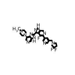 CN1CCN(c2cncc3[nH]c(-c4n[nH]c5cnc(-c6cncc(CN7CCC(F)(F)C7)c6)c(F)c45)nc23)CC1